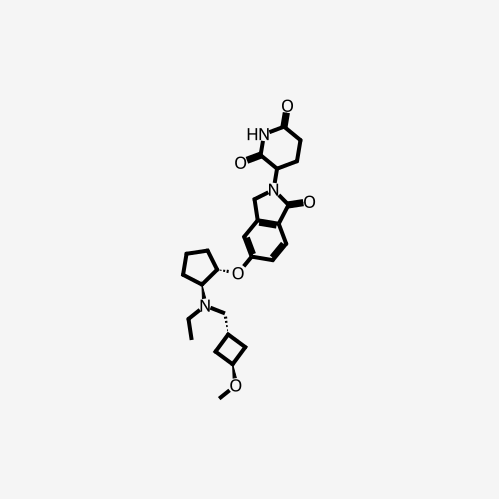 CCN(C[C@H]1C[C@H](OC)C1)[C@H]1CCC[C@@H]1Oc1ccc2c(c1)CN(C1CCC(=O)NC1=O)C2=O